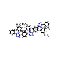 Cc1cc(C)c(-n2c(-c3ccccc3)nnc2-c2ccc(-c3nnc(-c4ccc(-c5nnc(-c6ccccc6)n5-c5c(C)cc(C)cc5C)cc4)n3-c3c(C)cc(C)cc3C)cc2)c(C)c1